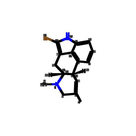 CCCN1CC(C)=C[C@@H]2c3cccc4[nH]c(Br)c(c34)C[C@H]21